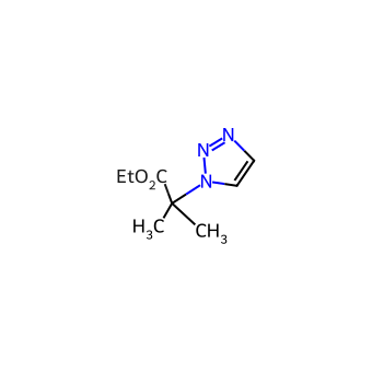 CCOC(=O)C(C)(C)n1ccnn1